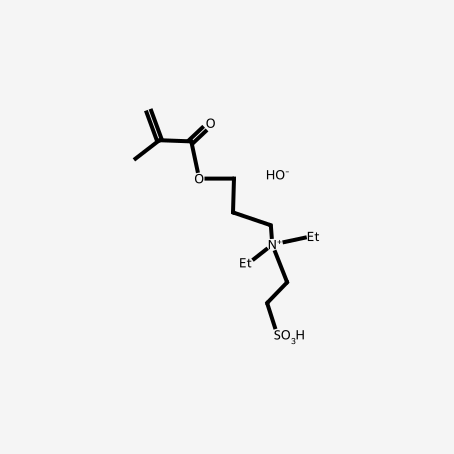 C=C(C)C(=O)OCCC[N+](CC)(CC)CCS(=O)(=O)O.[OH-]